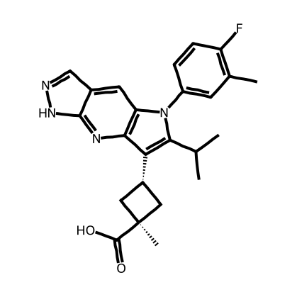 Cc1cc(-n2c(C(C)C)c([C@H]3C[C@](C)(C(=O)O)C3)c3nc4[nH]ncc4cc32)ccc1F